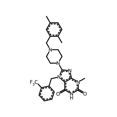 Cc1ccc(C)c(CN2CCN(c3nc4c(c(=O)[nH]c(=O)n4C)n3Cc3ccccc3C(F)(F)F)CC2)c1